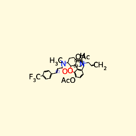 C=CCN1CC[C@]23c4c5ccc(OC(C)=O)c4OC2C(N(C)C(=O)/C=C/c2ccc(C(F)(F)F)cc2)CC[C@@]3(OC(C)=O)[C@H]1C5